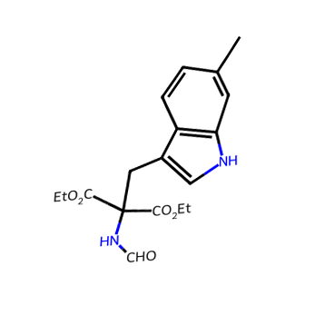 CCOC(=O)C(Cc1c[nH]c2cc(C)ccc12)(NC=O)C(=O)OCC